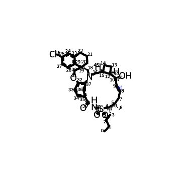 CCCC[C@H]1[C@@H](C)C/C=C/[C@H](O)[C@@H]2CC[C@H]2CN2C[C@@]3(CCCc4cc(Cl)ccc43)COc3ccc(cc32)C(=O)NS1(=O)=O